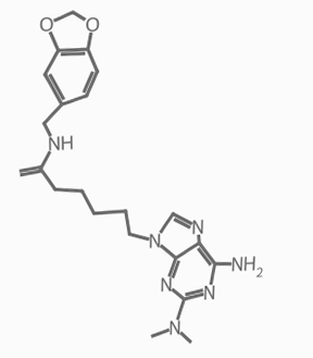 C=C(CCCCCn1cnc2c(N)nc(N(C)C)nc21)NCc1ccc2c(c1)OCO2